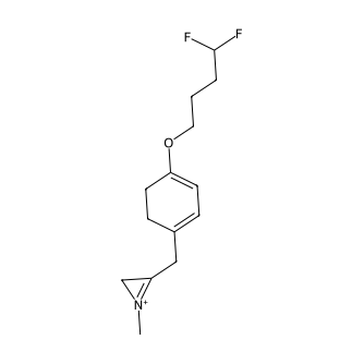 C[N+]1=C(CC2=CC=C(OCCCC(F)F)CC2)C1